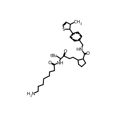 CC1C=CSC1c1ccc(CNC(=O)C2CCCC2CCC(=O)C(NC(=O)CCCCCCCN)C(C)(C)C)cc1